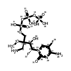 CO[C@](CN)(COP(=O)(O)OP(=O)(O)OP(=O)(O)O)[C@@H](O)[C@@H](F)n1cc(F)c(N)nc1=O